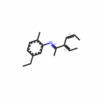 C\C=C/C(=C\C)C(/C)=N/c1cc(CC)ccc1C